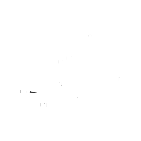 CC(c1ccc(F)cc1C1(O)COC1)N1C[C@H](C)NC[C@H]1C